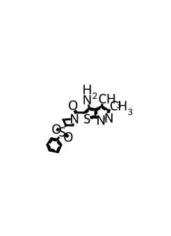 Cc1nnc2sc(C(=O)N3CC(S(=O)(=O)c4ccccc4)C3)c(N)c2c1C